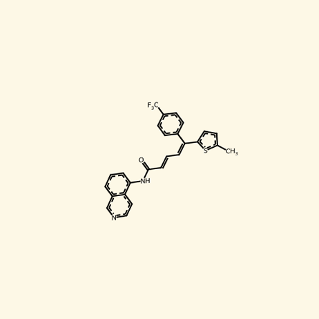 Cc1ccc(C(=CC=CC(=O)Nc2cccc3cnccc23)c2ccc(C(F)(F)F)cc2)s1